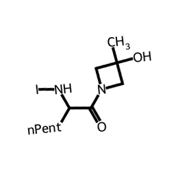 CCCCCC(NI)C(=O)N1CC(C)(O)C1